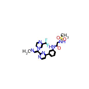 C=N/C=C(/c1nccc(-c2cccc(NC(=O)CNS(C)(=O)=O)c2)n1)N1C=C(C(F)F)N=CC1